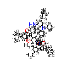 Cc1cc(C)c(N2c3cc4c(cc3B3c5ccccc5Oc5cc(C67CC8CC(CC(C8)C6)C7)cc2c53)B2c3cc5c(cc3Oc3cc(C67CC8CC(CC(C8)C6)C7)cc(c32)O4)Nc2cc(C34CC6CC(CC(C6)C3)C4)cc3c2B5c2ccccc2N3c2ccccc2)c(C)c1